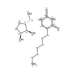 NCCCCCCc1c[nH]c(=O)[nH]c1=O.OC[C@H]1OC[C@H](O)[C@@H]1O